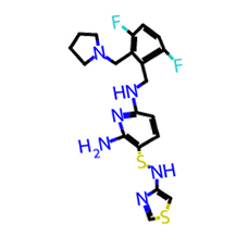 Nc1nc(NCc2c(F)ccc(F)c2CN2CCCC2)ccc1SNc1cscn1